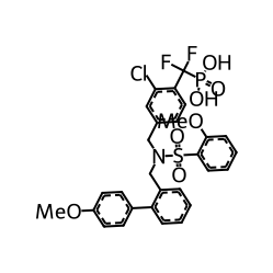 COc1ccc(-c2ccccc2CN(Cc2ccc(C(F)(F)P(=O)(O)O)c(Cl)c2)S(=O)(=O)c2ccccc2OC)cc1